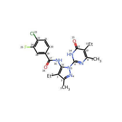 CCc1c(C)nn(-c2nc(C)c(CC)c(=O)[nH]2)c1NC(=O)c1ccc(Cl)c(F)c1